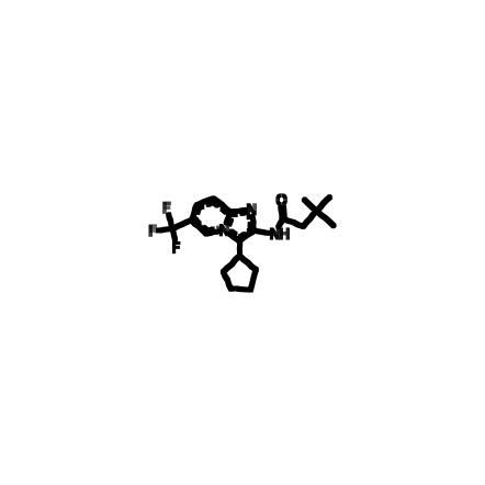 CC(C)(C)CC(=O)Nc1nc2ccc(C(F)(F)F)cn2c1C1CCCC1